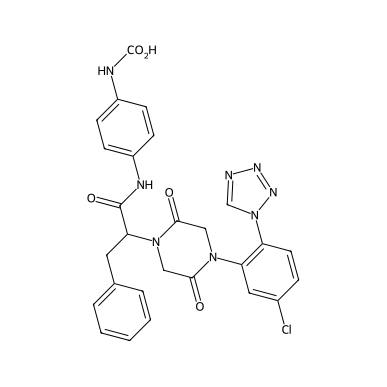 O=C(O)Nc1ccc(NC(=O)C(Cc2ccccc2)N2CC(=O)N(c3cc(Cl)ccc3-n3cnnn3)CC2=O)cc1